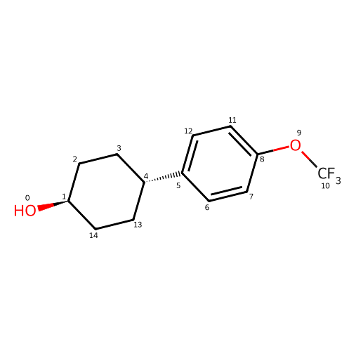 O[C@H]1CC[C@H](c2ccc(OC(F)(F)F)cc2)CC1